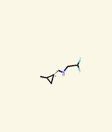 CC1C[C@H]1CNCC(F)F